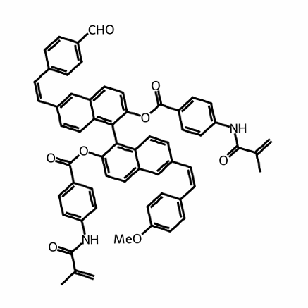 C=C(C)C(=O)Nc1ccc(C(=O)Oc2ccc3cc(/C=C\c4ccc(C=O)cc4)ccc3c2-c2c(OC(=O)c3ccc(NC(=O)C(=C)C)cc3)ccc3cc(/C=C\c4ccc(OC)cc4)ccc23)cc1